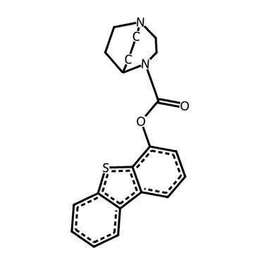 O=C(Oc1cccc2c1sc1ccccc12)N1CCN2CCC1CC2